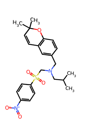 CC(C)CN(Cc1ccc2c(c1)C=CC(C)(C)O2)CS(=O)(=O)c1ccc([N+](=O)[O-])cc1